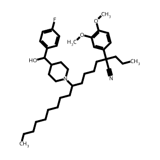 CCCCCCCCCC(CCCCC(C#N)(CCC)c1ccc(OC)c(OC)c1)N1CCC(C(O)c2ccc(F)cc2)CC1